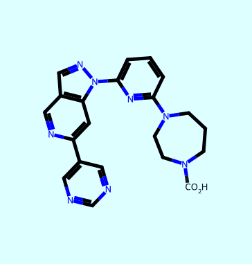 O=C(O)N1CCCN(c2cccc(-n3ncc4cnc(-c5cncnc5)cc43)n2)CC1